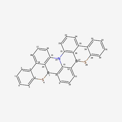 c1ccc2c(c1)SB1c3cccc4c3N(c3cccc-2c31)c1cccc2c1B4Sc1ccccc1-2